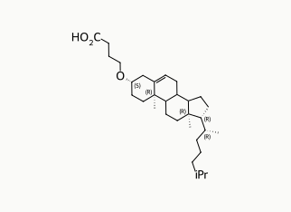 CC(C)CCC[C@@H](C)[C@H]1CCC2C3CC=C4C[C@@H](OCCCC(=O)O)CC[C@]4(C)C3CC[C@@]21C